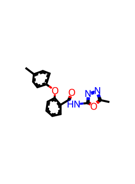 Cc1ccc(Oc2ccccc2C(=O)Nc2nnc(C)o2)cc1